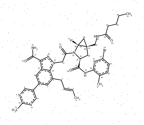 C/C=C/Cc1cc(-c2cnc(C)nc2)cc2c(C(N)=O)nn(CC(=O)N3[C@H](C(=O)Nc4nc(Br)ccc4C)C[C@@]4(CNC(=O)CCCC)C[C@@H]34)c12